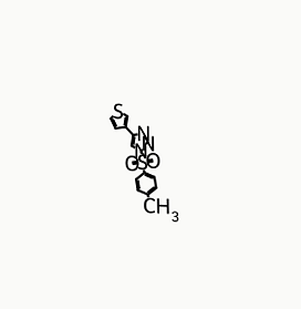 Cc1ccc(S(=O)(=O)n2cc(-c3ccsc3)nn2)cc1